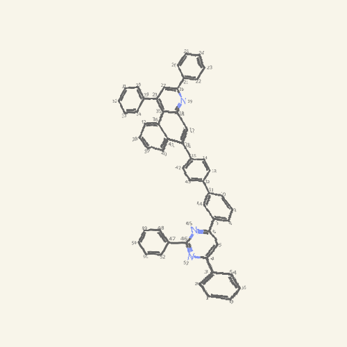 c1ccc(-c2cc(-c3cccc(-c4ccc(-c5cc6nc(-c7ccccc7)cc(-c7ccccc7)c6c6ccccc56)cc4)c3)nc(-c3ccccc3)n2)cc1